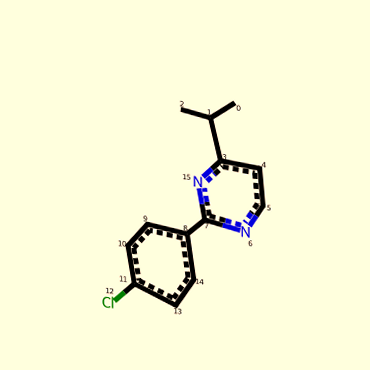 CC(C)c1ccnc(-c2ccc(Cl)cc2)n1